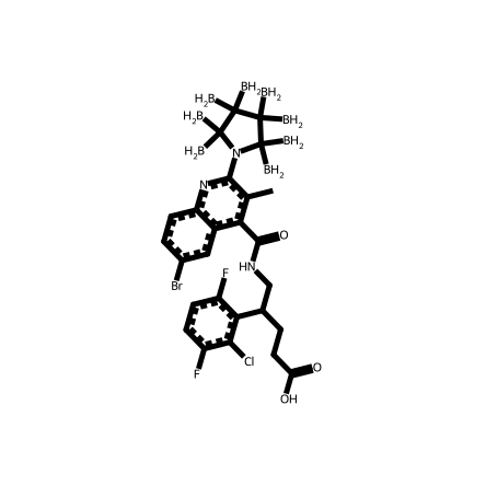 BC1(B)N(c2nc3ccc(Br)cc3c(C(=O)NCC(CCC(=O)O)c3c(F)ccc(F)c3Cl)c2C)C(B)(B)C(B)(B)C1(B)B